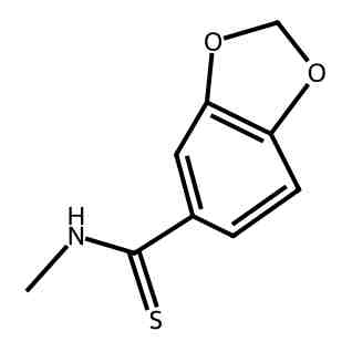 CNC(=S)c1ccc2c(c1)OCO2